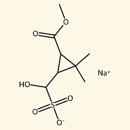 COC(=O)C1C(C(O)S(=O)(=O)[O-])C1(C)C.[Na+]